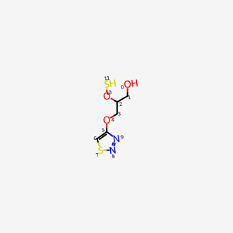 OCC(COc1csnn1)OS